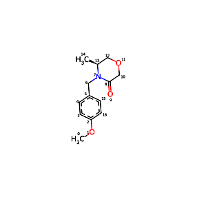 COc1ccc(CN2C(=O)COC[C@@H]2C)cc1